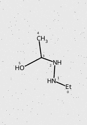 CCNNC(C)O